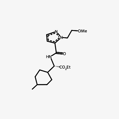 CCOC(=O)[C@@H](NC(=O)c1ccnn1CCOC)C1CCC(C)CC1